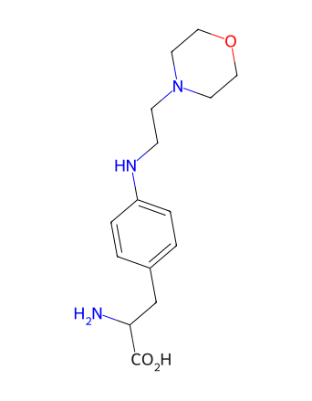 NC(Cc1ccc(NCCN2CCOCC2)cc1)C(=O)O